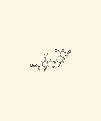 COC(=O)c1cc(C2CC2)c(O[C@@H]2CCCN([C@@H](C)c3cc(Cl)cc(Cl)c3)C2)cc1F